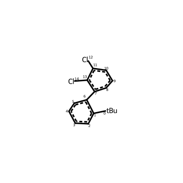 CC(C)(C)c1ccccc1-c1cccc(Cl)c1Cl